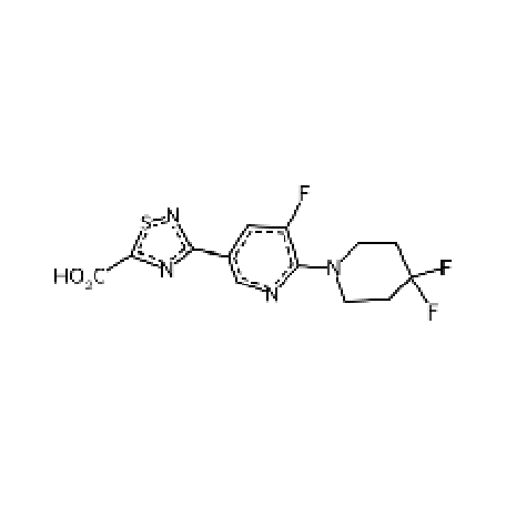 O=C(O)c1nc(-c2cnc(N3CCC(F)(F)CC3)c(F)c2)ns1